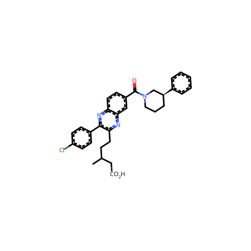 CC(CCc1nc2cc(C(=O)N3CCC[C@H](c4ccccc4)C3)ccc2nc1-c1ccc(Cl)cc1)CC(=O)O